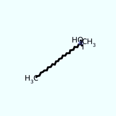 CCCCCCCCCCCCCCCCCCCCCCCC/C(I)=C(/C)O